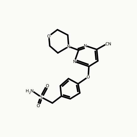 N#Cc1cc(Oc2ccc(CS(N)(=O)=O)cc2)nc(N2CCOCC2)n1